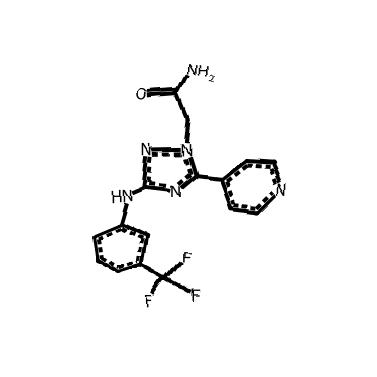 NC(=O)Cn1nc(Nc2cccc(C(F)(F)F)c2)nc1-c1ccncc1